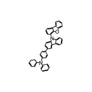 C1=CCCC(N(c2ccccc2)c2ccc(-c3ccc4c(c3)c3ccccc3n4-c3cccc4c3oc3ccccc34)cc2)=C1